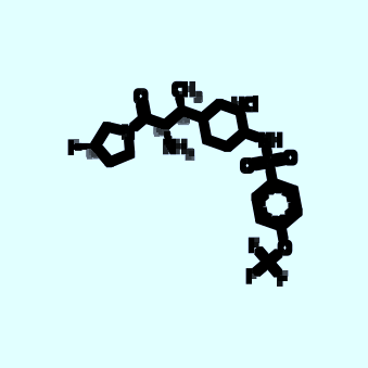 C[C@@H](C1CCC(NS(=O)(=O)c2ccc(OC(F)(F)F)cc2)CC1)[C@H](N)C(=O)N1CC[C@H](F)C1.Cl